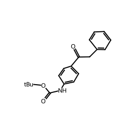 CC(C)(C)OC(=O)Nc1ccc(C(=O)Cc2ccccc2)cc1